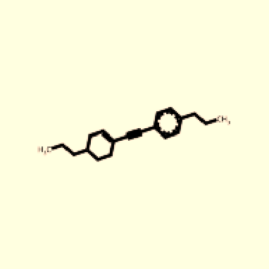 CCCc1ccc(C#CC2=CCC(CCC)CC2)cc1